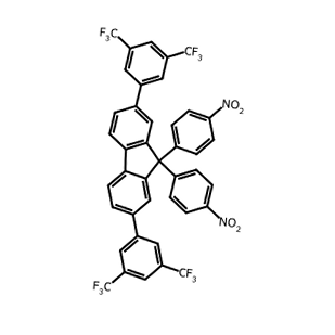 O=[N+]([O-])c1ccc(C2(c3ccc([N+](=O)[O-])cc3)c3cc(-c4cc(C(F)(F)F)cc(C(F)(F)F)c4)ccc3-c3ccc(-c4cc(C(F)(F)F)cc(C(F)(F)F)c4)cc32)cc1